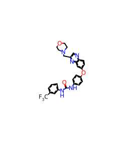 O=C(Nc1ccc(Oc2ccc3ncc(CN4CCOCC4)nc3c2)cc1)Nc1cccc(C(F)(F)F)c1